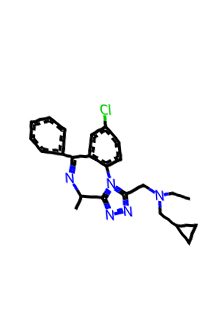 CCN(Cc1nnc2n1-c1ccc(Cl)cc1C(c1ccccc1)=NC2C)CC1CC1